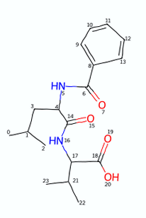 CC(C)CC(NC(=O)c1ccccc1)C(=O)NC(C(=O)O)C(C)C